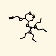 C#CCOC1CSSCC1OP(N(CCC)CCC)N(CCC)CCC